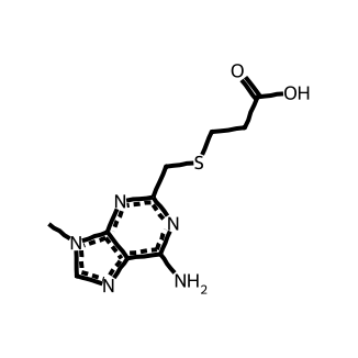 Cn1cnc2c(N)nc(CSCCC(=O)O)nc21